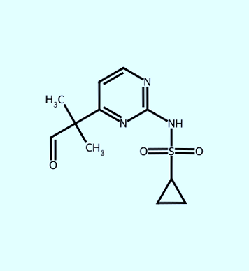 CC(C)(C=O)c1ccnc(NS(=O)(=O)C2CC2)n1